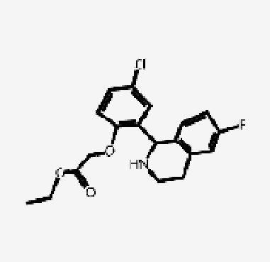 CCOC(=O)COc1ccc(Cl)cc1C1NCCc2cc(F)ccc21